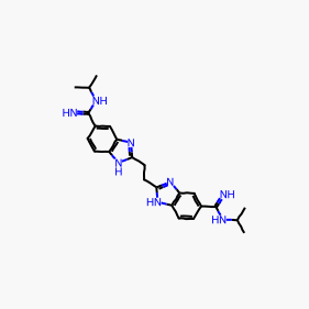 CC(C)NC(=N)c1ccc2[nH]c(CCc3nc4cc(C(=N)NC(C)C)ccc4[nH]3)nc2c1